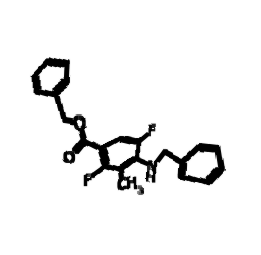 Cc1c(F)c(C(=O)OCc2ccccc2)cc(F)c1NCc1ccccc1